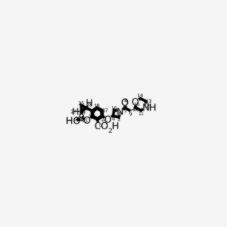 O=C(O)c1c(OC2CN(C(=O)C[C@H]3CNCCO3)C2)ccc2c1OB(O)[C@H]1C[C@@H]21